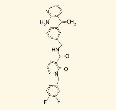 C=C(c1cccc(CNC(=O)c2cccn(Cc3ccc(F)c(F)c3)c2=O)c1)c1cccnc1N